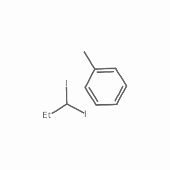 CCC(I)I.Cc1ccccc1